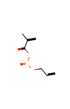 C=CCO[PH](=O)OC(=O)C(=C)C